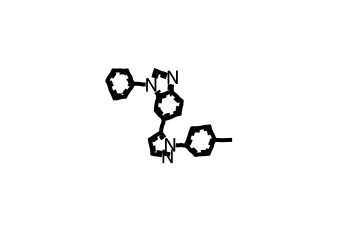 Cc1ccc(-n2nccc2-c2ccc3ncn(-c4ccccc4)c3c2)cc1